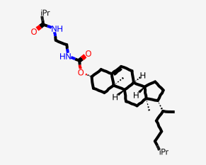 CC(C)CCCC(C)[C@H]1CC[C@H]2[C@@H]3CC=C4C[C@@H](OC(=O)NCCNC(=O)C(C)C)CC[C@]4(C)[C@H]3CC[C@]12C